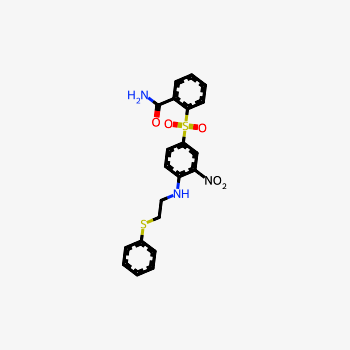 NC(=O)c1ccccc1S(=O)(=O)c1ccc(NCCSc2ccccc2)c([N+](=O)[O-])c1